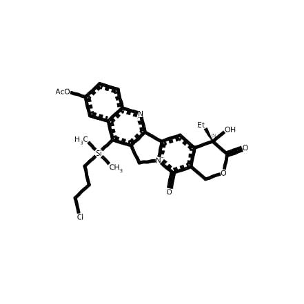 CC[C@@]1(O)C(=O)OCc2c1cc1n(c2=O)Cc2c-1nc1ccc(OC(C)=O)cc1c2[Si](C)(C)CCCCl